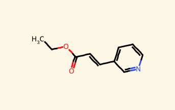 CCOC(=O)C=Cc1cccnc1